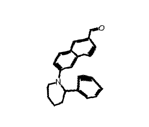 O=Cc1ccc2cc(N3CCCCC3c3ccccc3)ccc2c1